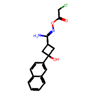 N/C(=N\OC(=O)CCl)C1CC(O)(c2ccc3ccccc3c2)C1